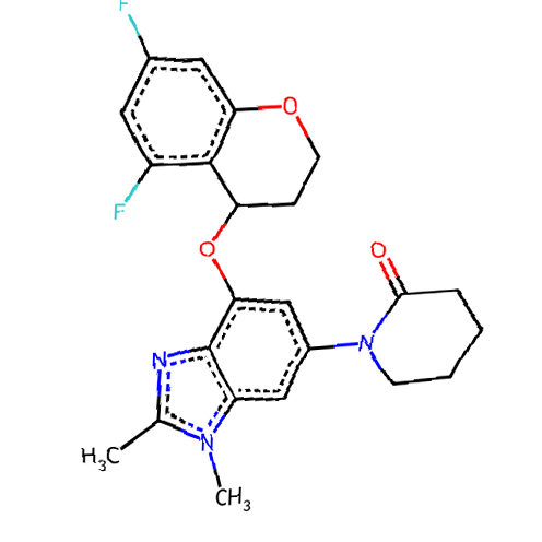 Cc1nc2c(OC3CCOc4cc(F)cc(F)c43)cc(N3CCCCC3=O)cc2n1C